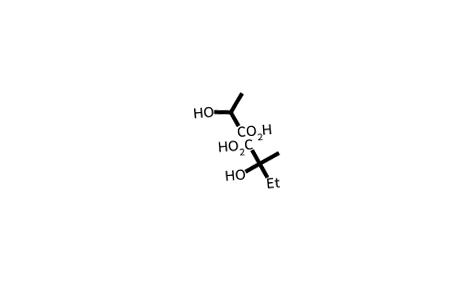 CC(O)C(=O)O.CCC(C)(O)C(=O)O